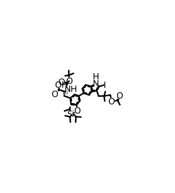 CC(=O)OCC(C)(C)Cc1c(I)[nH]c2ccc(-c3cc(C[C@H](NC(=O)OC(C)(C)C)C(=O)O)cc(O[Si](C(C)C)(C(C)C)C(C)C)c3)cc12